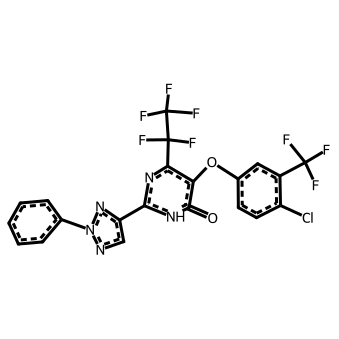 O=c1[nH]c(-c2cnn(-c3ccccc3)n2)nc(C(F)(F)C(F)(F)F)c1Oc1ccc(Cl)c(C(F)(F)F)c1